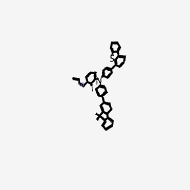 C=C/C=C\C1C=CC=C(N(c2ccc(C3=CCC4C(=C3)C(C)(C)c3ccccc34)cc2)c2ccc(-c3cccc4c3sc3ccccc34)cc2)C1I